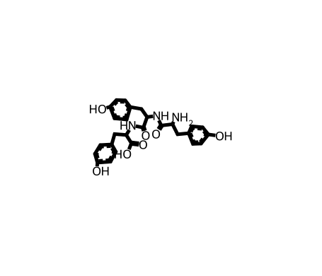 NC(Cc1ccc(O)cc1)C(=O)NC(Cc1ccc(O)cc1)C(=O)NC(Cc1ccc(O)cc1)C(=O)O